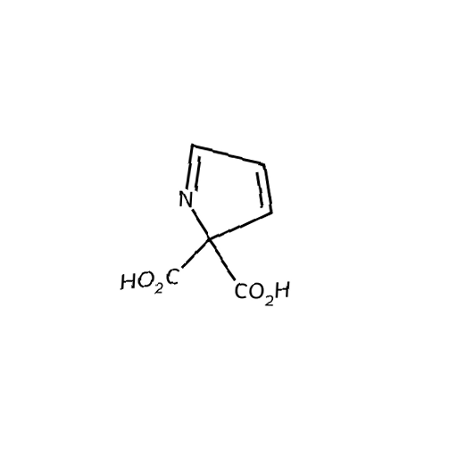 O=C(O)C1(C(=O)O)C=CC=N1